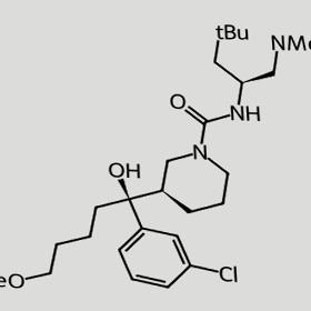 CNC[C@H](CC(C)(C)C)NC(=O)N1CCC[C@@H]([C@@](O)(CCCCOC)c2cccc(Cl)c2)C1